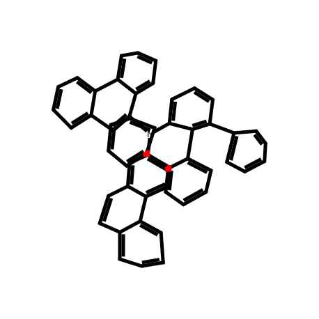 c1ccc(-c2ccccc2-c2c(-c3ccccc3)cccc2N(c2ccc3c(ccc4ccccc43)c2)c2cc3ccccc3c3ccccc23)cc1